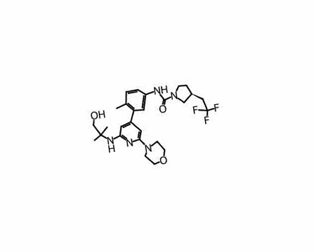 Cc1ccc(NC(=O)N2CC[C@@H](CC(F)(F)F)C2)cc1-c1cc(NC(C)(C)CO)nc(N2CCOCC2)c1